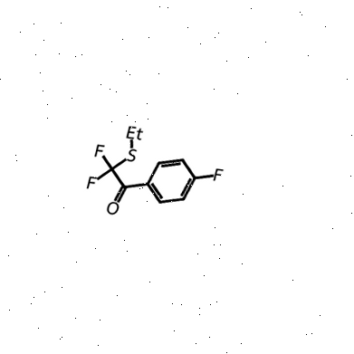 CCSC(F)(F)C(=O)c1ccc(F)cc1